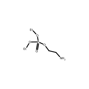 CCOP(=O)(OCC)OCCN